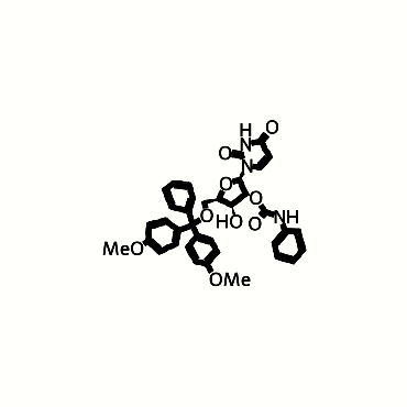 COc1ccc(C(OC[C@H]2O[C@@H](n3ccc(=O)[nH]c3=O)[C@H](OC(=O)Nc3ccccc3)[C@@H]2O)(c2ccccc2)c2ccc(OC)cc2)cc1